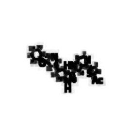 CC(=O)c1ccc(-c2nccc3[nH]c(-c4n[nH]c5ccc(-c6cncc(OC7CCCCC7)c6)cc45)cc23)s1